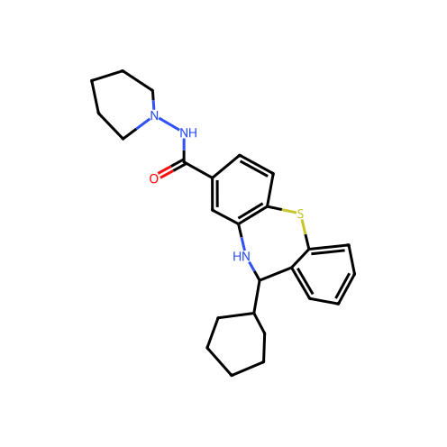 O=C(NN1CCCCC1)c1ccc2c(c1)NC(C1CCCCC1)c1ccccc1S2